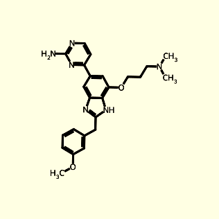 COc1cccc(Cc2nc3cc(-c4ccnc(N)n4)cc(OCCCN(C)C)c3[nH]2)c1